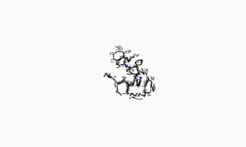 CCNc1ccc(C#N)cc1/N=C1\S/C(=C2\SC3=C(CCCC3)N2C)C(=O)N1Cc1cccnc1